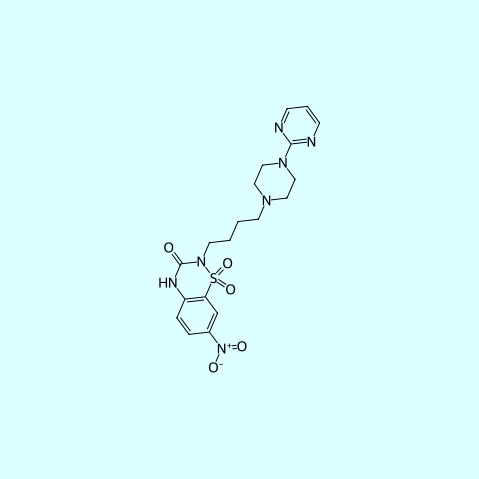 O=C1Nc2ccc([N+](=O)[O-])cc2S(=O)(=O)N1CCCCN1CCN(c2ncccn2)CC1